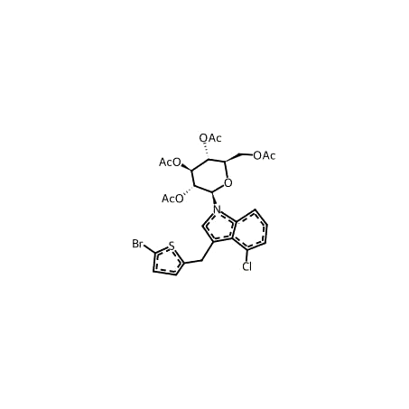 CC(=O)OC[C@H]1O[C@@H](n2cc(Cc3ccc(Br)s3)c3c(Cl)cccc32)[C@H](OC(C)=O)[C@@H](OC(C)=O)[C@@H]1OC(C)=O